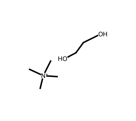 C[N+](C)(C)C.OCCO